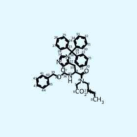 CC=CCN(CC(=O)O)C(=O)C(Cc1cncn1C(c1ccccc1)(c1ccccc1)c1ccccc1)NC(=O)OCc1ccccc1